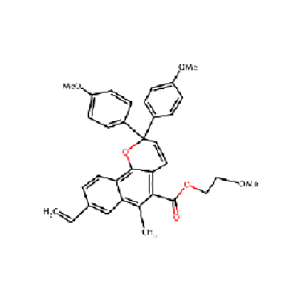 C=Cc1ccc2c3c(c(C(=O)OCCOC)c(C)c2c1)C=CC(c1ccc(OC)cc1)(c1ccc(OC)cc1)O3